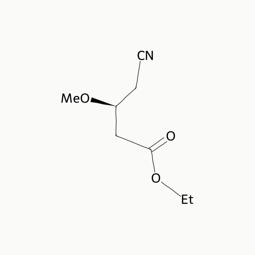 CCOC(=O)C[C@H](CC#N)OC